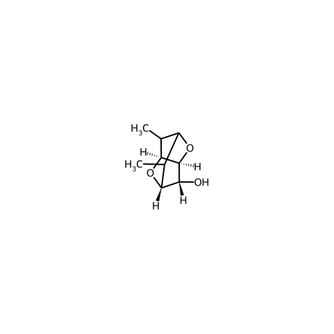 CC1C2O[C@H]3[C@H](O)[C@@H]1O[C@H]3C2C